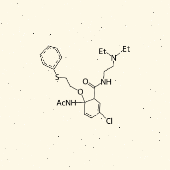 CCN(CC)CCNC(=O)C1C=C(Cl)C=CC1(NC(C)=O)OCCSc1ccccc1